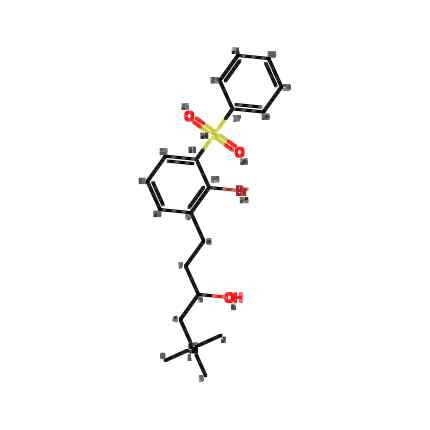 C[Si](C)(C)CC(O)CCc1cccc(S(=O)(=O)c2ccccc2)c1Br